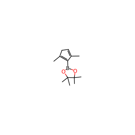 CC1=CCC(C)=C1B1OC(C)(C)C(C)(C)O1